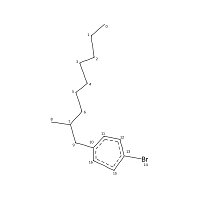 CCCCCCCC(C)Cc1ccc(Br)cc1